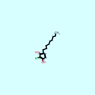 CCCCCCCCCc1ccc(O)c(Br)c1O